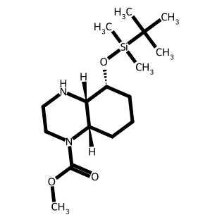 COC(=O)N1CCN[C@@H]2[C@H](O[Si](C)(C)C(C)(C)C)CCC[C@@H]21